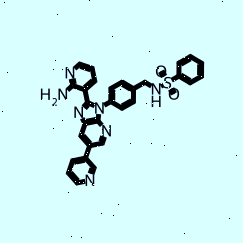 Nc1ncccc1-c1nc2cc(-c3cccnc3)cnc2n1-c1ccc(CNS(=O)(=O)c2ccccc2)cc1